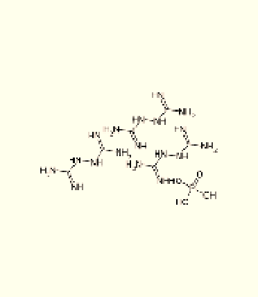 N=C(N)NNC(=N)N.N=C(N)NNC(=N)N.N=C(N)NNC(=N)N.O=P(O)(O)O